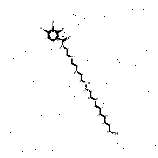 O=C(OCCOCCOCCOCCCCCCCCCCCS)c1ccc(F)c(F)c1F